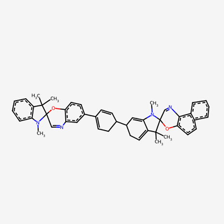 CN1C2=CC(C3C=CC(c4ccc5c(c4)N=CC4(O5)N(C)c5ccccc5C4(C)C)=CC3)CC=C2C(C)(C)C12C=Nc1c(ccc3ccccc13)O2